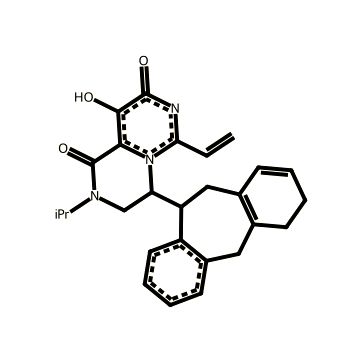 C=Cc1nc(=O)c(O)c2n1C(C1CC3=C(CCC=C3)Cc3ccccc31)CN(C(C)C)C2=O